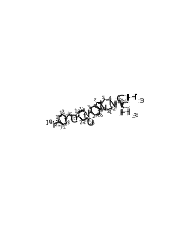 CC(C)N1CCc2cc3cc(-n4ccc(OCc5ccc([18F])cc5)cc4=O)ccc3n2CC1